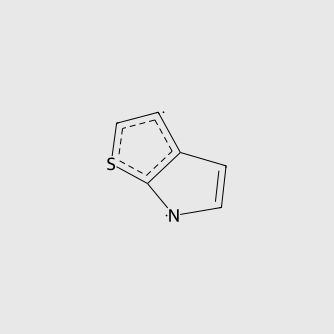 [c]1csc2c1C=C[N]2